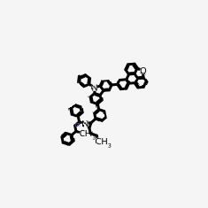 CCCC1C(C2=CCCC(c3ccc4c(c3)c3cc(-c5ccc6c(c5)c5cccc7oc8cccc6c8c75)ccc3n4-c3ccccc3)=C2)N1/C(=C\C(C)c1ccccc1)c1ccccc1